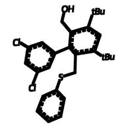 CC(C)(C)c1cc(C(C)(C)C)c(CSc2ccccc2)c(-c2cc(Cl)cc(Cl)c2)c1CO